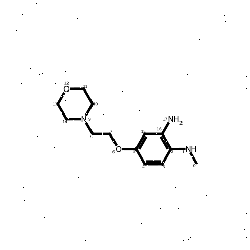 CNc1ccc(OCCN2CCOCC2)cc1N